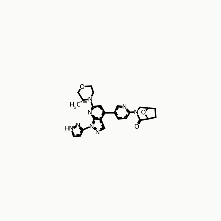 C[C@@H]1COCCN1c1cc(-c2ccc(N3CC4CCC(O4)C3=O)nc2)c2cnn(-c3cc[nH]n3)c2n1